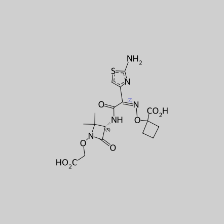 CC1(C)[C@H](NC(=O)/C(=N\OC2(C(=O)O)CCC2)c2csc(N)n2)C(=O)N1OCC(=O)O